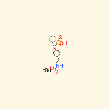 CC(C)(C)OC(=O)NCCc1ccc(OCC2([PH](=O)O)CCCCC2)cc1